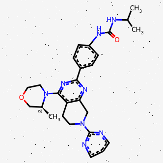 CC(C)NC(=O)Nc1ccc(-c2nc3c(c(N4CCOC[C@@H]4C)n2)CCN(c2ncccn2)C3)cc1